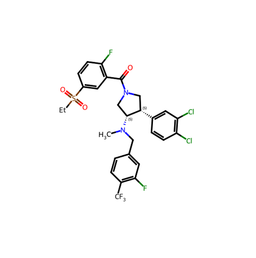 CCS(=O)(=O)c1ccc(F)c(C(=O)N2C[C@H](c3ccc(Cl)c(Cl)c3)[C@H](N(C)Cc3ccc(C(F)(F)F)c(F)c3)C2)c1